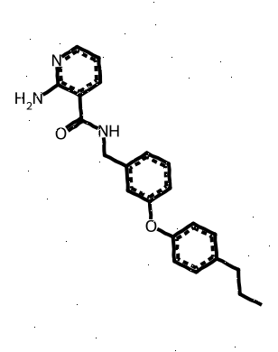 CCCc1ccc(Oc2cccc(CNC(=O)c3cccnc3N)c2)cc1